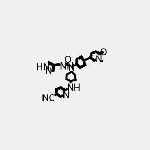 Cn1cc(-c2ccc(N(C(=O)NCc3cn[nH]c3)C3CCC(Nc4ccc(C#N)cn4)CC3)cc2)ccc1=O